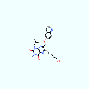 CC(C)Cn1c(=O)n(C)c(=O)c2nc(CCCCCO)c(COc3ccc4ncccc4c3)nc21